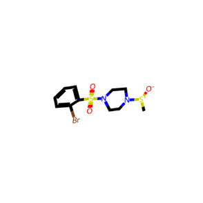 C[S+]([O-])N1CCN(S(=O)(=O)c2ccccc2Br)CC1